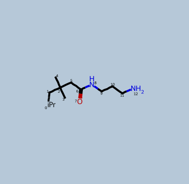 CC(C)CC(C)(C)CC(=O)NCCCN